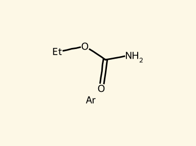 CCOC(N)=O.[Ar]